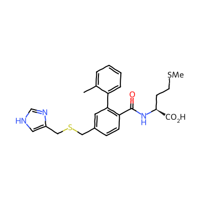 CSCC[C@H](NC(=O)c1ccc(CSCc2c[nH]cn2)cc1-c1ccccc1C)C(=O)O